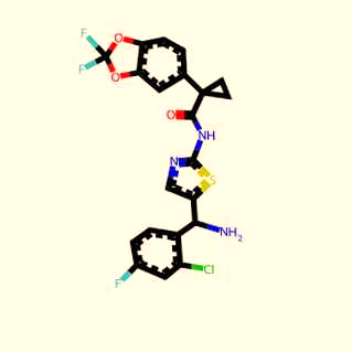 NC(c1cnc(NC(=O)C2(c3ccc4c(c3)OC(F)(F)O4)CC2)s1)c1ccc(F)cc1Cl